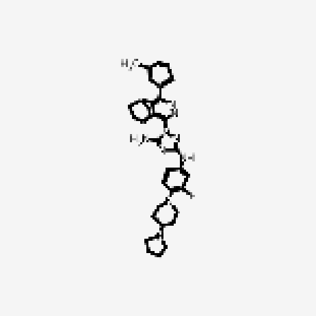 Cc1cccc(-c2nnc(-n3nc(Nc4ccc(N5CCC(N6CCCC6)CC5)c(F)c4)nc3N)c3c2C2CCC3CC2)c1